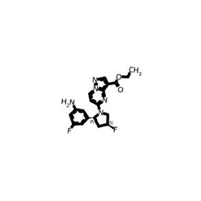 CCOC(=O)c1cnn2ccc(N3C[C@@H](F)C[C@@H]3c3cc(N)cc(F)c3)nc12